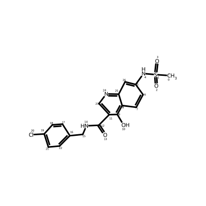 CS(=O)(=O)Nc1ccc2c(O)c(C(=O)NCc3ccc(Cl)cc3)cnc2c1